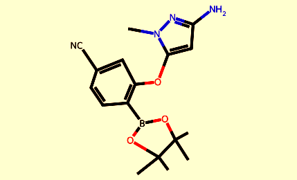 Cn1nc(N)cc1Oc1cc(C#N)ccc1B1OC(C)(C)C(C)(C)O1